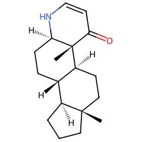 C[C@@]12CCC[C@H]1[C@@H]1CC[C@H]3NC=CC(=O)[C@]3(C)[C@H]1CC2